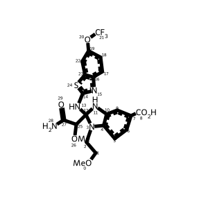 COCCN1c2ccc(C(=O)O)cc2NC1(Nc1nc2ccc(OC(F)(F)F)cc2s1)C(OC)C(N)=O